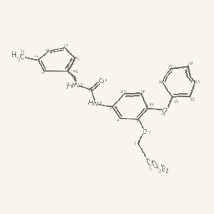 CCOC(=O)COc1cc(NC(=O)Nc2cccc(C)c2)ccc1Oc1ccccc1